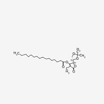 CCCCCCCCCCCCCCCC(=O)OC1=C(C)C(=O)O[C@@H]1[C@@H]1COC(C)(C)O1